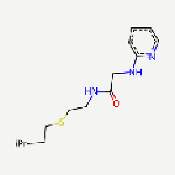 CC(C)CCSCCNC(=O)CNc1ccccn1